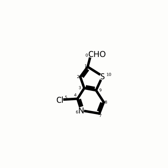 O=Cc1cc2c(Cl)nccc2s1